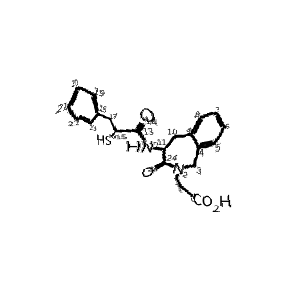 O=C(O)CN1Cc2ccccc2CC(NC(=O)[C@@H](S)Cc2ccccc2)C1=O